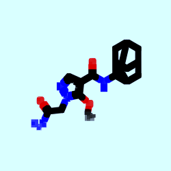 CC(C)Oc1c(C(=O)NC2C3CC4CC(C3)CC2C4)cnn1CC(N)=O